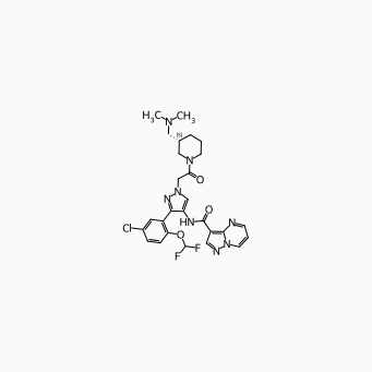 CN(C)C[C@@H]1CCCN(C(=O)Cn2cc(NC(=O)c3cnn4cccnc34)c(-c3cc(Cl)ccc3OC(F)F)n2)C1